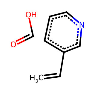 C=Cc1cccnc1.O=CO